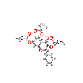 CC(=O)Oc1cc(OC(C)=O)c2c(=O)c(OC(C)=O)c(-c3ccccc3)oc2c1